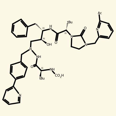 CC(=O)c1cccc(CN2CCN([C@H](C(=O)N[C@@H](Cc3ccccc3)[C@@H](O)CN(Cc3ccc(-c4ccccn4)cc3)NC(=O)[C@@H](NC(=O)O)C(C)(C)C)C(C)(C)C)C2=O)n1